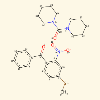 CSc1ccc(C(=O)c2ccccc2)c([N+](=O)[O-])c1.O=C(N1CCCCC1)N1CCCCC1